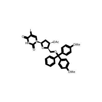 COc1ccc(C(OC[C@H]2O[C@@H](n3cc(I)c(=O)[nH]c3=O)C[C@@H]2OC(C)=O)(c2ccccc2)c2ccc(OC)cc2)cc1